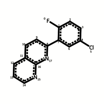 Fc1ccc(Cl)cc1-c1c[c]c2cccnc2n1